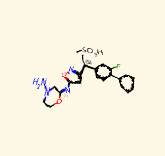 CS(=O)(=O)O.C[C@@H](c1ccc(-c2ccccc2)c(F)c1)c1cc(/N=C2\CN(N)CCO2)on1